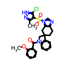 COc1ccccc1C(=O)NCC1(c2ccccc2)CCc2ncn(S(=O)(=O)c3c(C)n[nH]c3Cl)c2C1